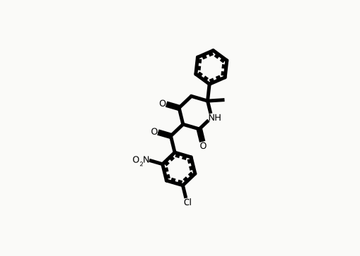 CC1(c2ccccc2)CC(=O)C(C(=O)c2ccc(Cl)cc2[N+](=O)[O-])C(=O)N1